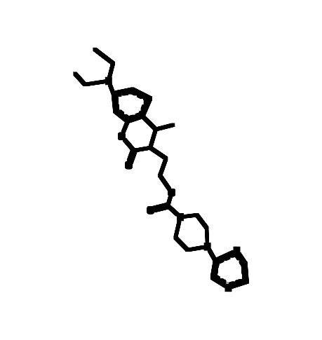 CCN(CC)c1ccc2c(c1)OC(=O)C(CCOC(=O)N1CCN(c3cnccn3)CC1)C2C